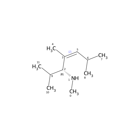 CN[C@@H](/C(C)=C\C(C)C)C(C)C